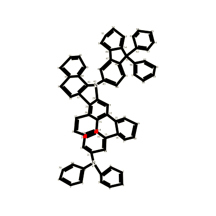 c1ccc(N(c2ccccc2)c2cccc(-c3ccccc3-c3cc4c(c5ccccc35)c3ccc5ccccc5c3n4-c3ccc4c(c3)-c3ccccc3C4(c3ccccc3)c3ccccc3)c2)cc1